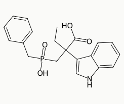 CCC(CP(=O)(O)Cc1ccccc1)(C(=O)O)c1c[nH]c2ccccc12